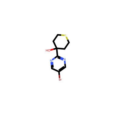 OC1(c2ncc(Br)cn2)CCSCC1